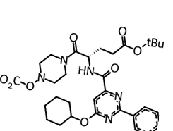 CCOC(=O)ON1CCN(C(=O)[C@H](CCC(=O)OC(C)(C)C)NC(=O)c2cc(OC3CCCCC3)nc(-c3ccccc3)n2)CC1